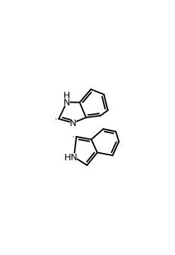 [c]1[nH]cc2ccccc12.[c]1nc2ccccc2[nH]1